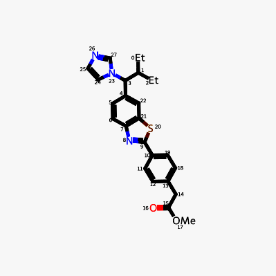 CCC(CC)C(c1ccc2nc(-c3ccc(CC(=O)OC)cc3)sc2c1)n1ccnc1